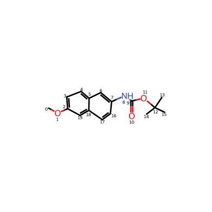 COc1ccc2cc(NC(=O)OC(C)(C)C)ccc2c1